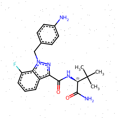 CC(C)(C)[C@H](NC(=O)c1nn(Cc2ccc(N)cc2)c2c(F)cccc12)C(N)=O